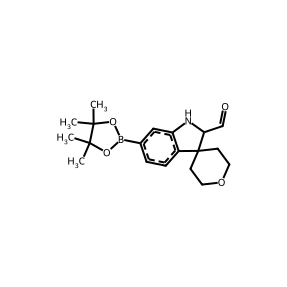 CC1(C)OB(c2ccc3c(c2)NC(C=O)C32CCOCC2)OC1(C)C